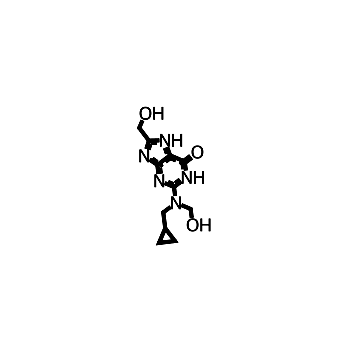 O=c1[nH]c(N(CO)CC2CC2)nc2nc(CO)[nH]c12